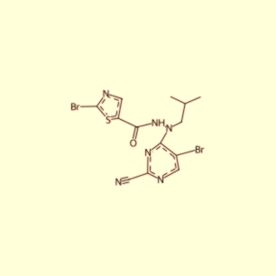 CC(C)CN(NC(=O)c1cnc(Br)s1)c1nc(C#N)ncc1Br